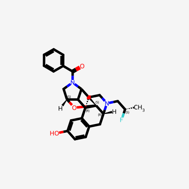 C[C@H](F)CN1CC[C@@]23c4cc(O)ccc4C[C@@H]1[C@]21CCC2C3[C@@H](CN2C(=O)c2ccccc2)O1